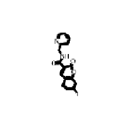 O=C(NCc1ccccn1)c1cc2ccc(I)cc2oc1=O